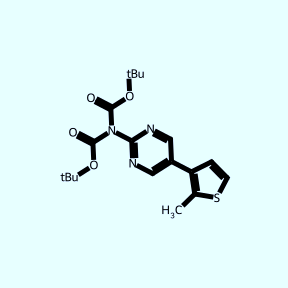 Cc1sccc1-c1cnc(N(C(=O)OC(C)(C)C)C(=O)OC(C)(C)C)nc1